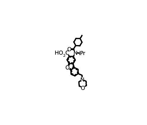 CC1CCC(C(=O)N(c2cc3c(cc2C(=O)O)oc2ccc(CN4CCOCC4)cc23)C(C)C)CC1